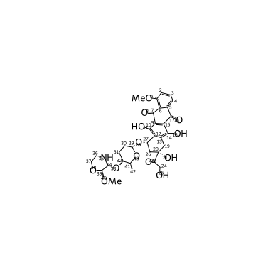 COc1cccc2c1C(=O)c1c(O)c3c(c(O)c1C2=O)C[C@@](O)(C(=O)CO)C[C@@H]3O[C@H]1CC[C@H](O[C@H]2NCCO[C@@H]2OC)[C@H](C)O1